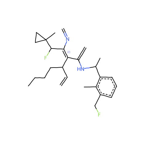 C=CC(CCCC)/C(C(=C)NC(C)c1cccc(CF)c1C)=C(/N=C)C(F)C1(C)CC1